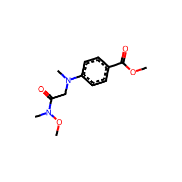 COC(=O)c1ccc(N(C)CC(=O)N(C)OC)cc1